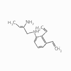 C=Cc1cccc(NC/C(N)=C/C)c1C=C